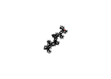 c1ccc(N(c2ccc3c(c2)c2ccccc2n3-c2ccccc2)c2ccc3c4cccc5c6cc7c(cc6n(c3c2)c45)c2cccc3c4ccc(N(c5ccccc5)c5ccc6c(c5)c5ccccc5n6-c5ccccc5)cc4n7c32)cc1